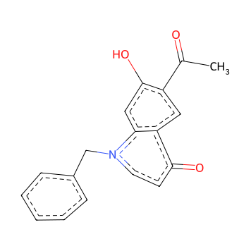 CC(=O)c1cc2c(=O)ccn(Cc3ccccc3)c2cc1O